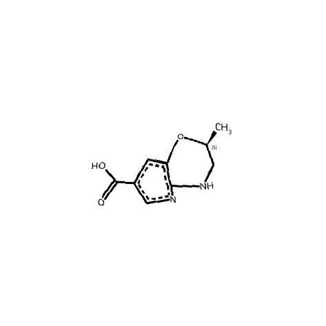 C[C@H]1CNc2ncc(C(=O)O)cc2O1